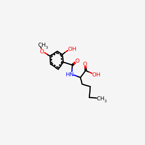 CCCCC(NC(=O)c1ccc(OC)cc1O)C(=O)O